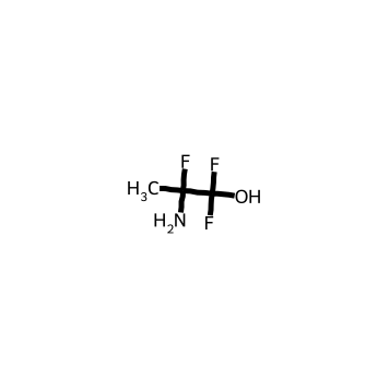 CC(N)(F)C(O)(F)F